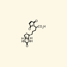 O=C1N[C@H]2[C@H](CS[C@H]2CCCC(C(=O)O)N2C(=O)C=CC2=O)N1